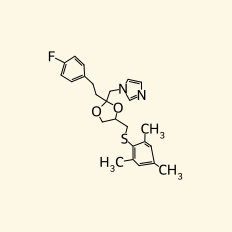 Cc1cc(C)c(SCC2COC(CCc3ccc(F)cc3)(Cn3ccnc3)O2)c(C)c1